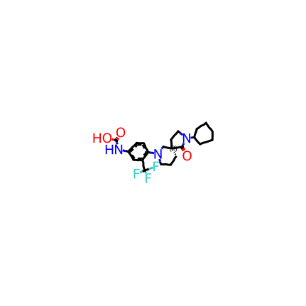 O=C(O)Nc1ccc(N2CCC[C@@]3(CCN(C4CCCCC4)C3=O)C2)c(C(F)(F)F)c1